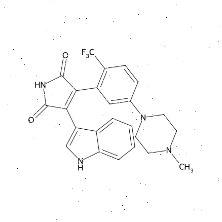 CN1CCN(c2ccc(C(F)(F)F)c(C3=C(c4c[nH]c5ccccc45)C(=O)NC3=O)c2)CC1